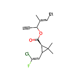 C#CC(OC(=O)[C@@H]1C(C=C(F)Cl)C1(C)C)C(C)=CCC